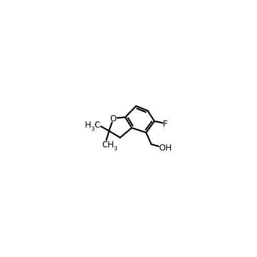 CC1(C)Cc2c(ccc(F)c2CO)O1